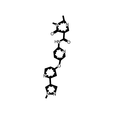 Cc1ncc(C(=O)Nc2ccc(Oc3ccnc(-c4cnn(C)c4)c3)cn2)c(=O)n1C